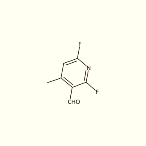 Cc1cc(F)nc(F)c1C=O